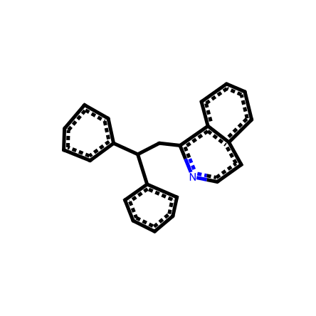 c1ccc(C(Cc2nccc3ccccc23)c2ccccc2)cc1